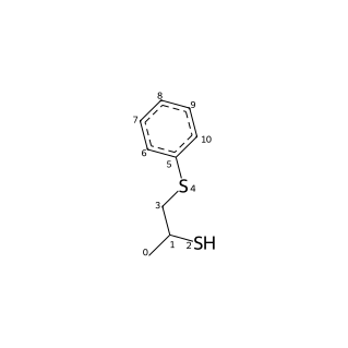 CC(S)CSc1ccccc1